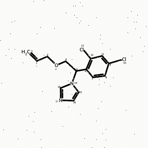 C=CCOCC(c1ccc(Cl)cc1Cl)n1ccnc1